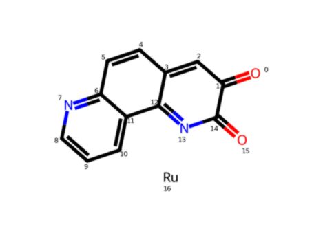 O=C1C=c2ccc3ncccc3c2=NC1=O.[Ru]